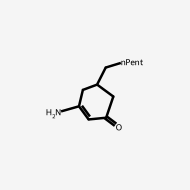 CCCCCCC1CC(=O)C=C(N)C1